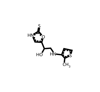 Cc1sccc1NCC(O)c1c[nH]c(=S)o1